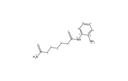 NC(=O)CCCCCC(=O)Nc1ccccc1N